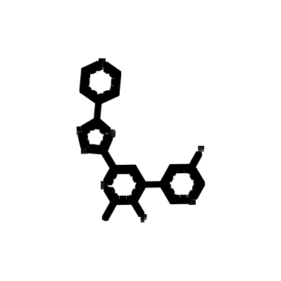 Cc1nc(-c2nnc(-c3ccncc3)o2)cc(-c2cncc(F)c2)c1F